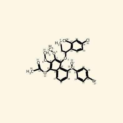 CCC(Oc1c(OC)c(OC)c(OC(C)=O)c2cccc([S+]([O-])c3ccc(Br)cc3)c12)c1ccc(Cl)cc1Cl